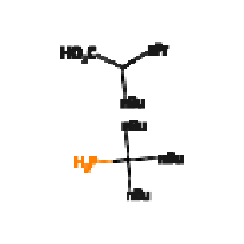 CCCCC(CCC)C(=O)O.CCCCC(P)(CCCC)CCCC